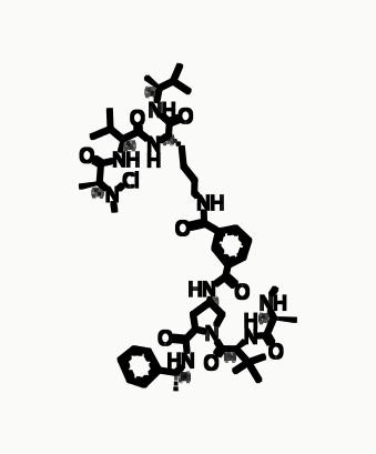 CN[C@@H](C)C(=O)N[C@H](C(=O)N1C[C@@H](NC(=O)c2cccc(C(=O)NCCCC[C@H](NC(=O)[C@@H](NC(=O)[C@H](C)N(C)Cl)C(C)C)C(=O)N[C@@H](C)C(C)C)c2)CC1C(=O)N[C@H](C)c1ccccc1)C(C)(C)C